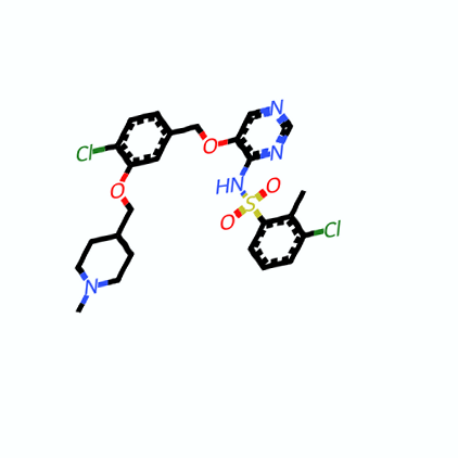 Cc1c(Cl)cccc1S(=O)(=O)Nc1ncncc1OCc1ccc(Cl)c(OCC2CCN(C)CC2)c1